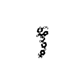 C[C@H]1CN(C(=O)c2nn(CC(=O)N3CCC(Oc4ccc(C(F)(F)F)cc4)CC3)c3c2CCC3)CCO1